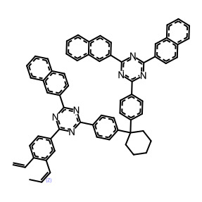 C=Cc1ccc(-c2nc(-c3ccc(C4(c5ccc(-c6nc(-c7ccc8ccccc8c7)nc(-c7ccc8ccccc8c7)n6)cc5)CCCCC4)cc3)nc(-c3ccc4ccccc4c3)n2)cc1/C=C\C